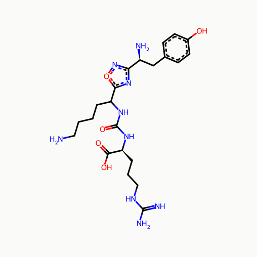 N=C(N)NCCC[C@H](NC(=O)NC(CCCCN)c1nc([C@@H](N)Cc2ccc(O)cc2)no1)C(=O)O